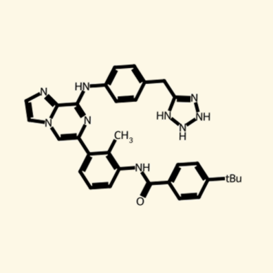 Cc1c(NC(=O)c2ccc(C(C)(C)C)cc2)cccc1-c1cn2ccnc2c(Nc2ccc(CC3=NNNN3)cc2)n1